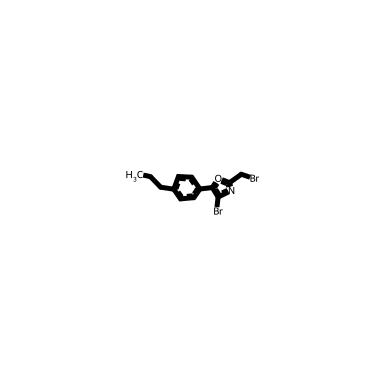 CCCc1ccc(-c2oc(CBr)nc2Br)cc1